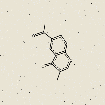 CC(=O)c1ccc2occ(C)c(=O)c2c1